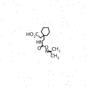 CC(C)=NOC(=O)NCC1(CC(=O)O)CCCCC1